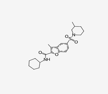 Cc1c(C(=O)NC2CCCCC2)oc2ccc(S(=O)(=O)N3CCCC(C)C3)cc12